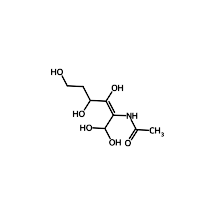 CC(=O)N/C(=C(\O)C(O)CCO)C(O)O